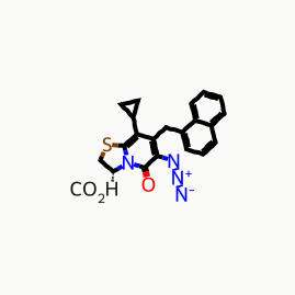 [N-]=[N+]=Nc1c(Cc2cccc3ccccc23)c(C2CC2)c2n(c1=O)[C@H](C(=O)O)CS2